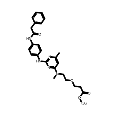 Cc1cc(N(C)CCOCCC(=O)OC(C)(C)C)nc(Nc2ccc(NC(=O)Cc3ccccc3)cc2)n1